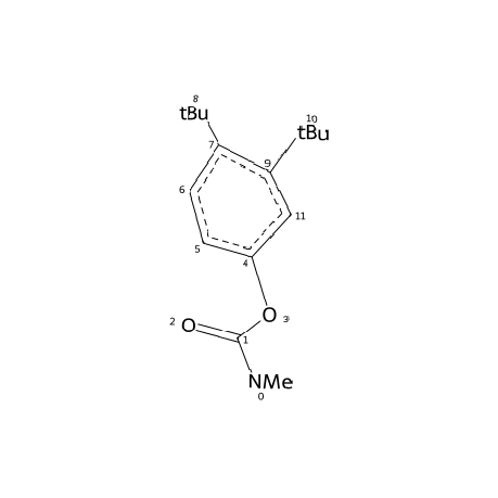 CNC(=O)Oc1ccc(C(C)(C)C)c(C(C)(C)C)c1